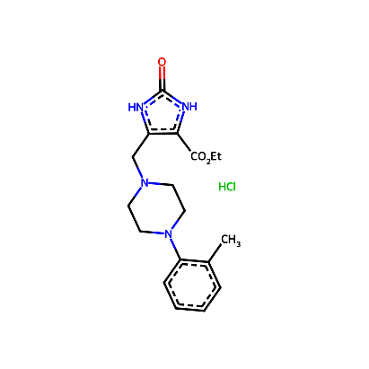 CCOC(=O)c1[nH]c(=O)[nH]c1CN1CCN(c2ccccc2C)CC1.Cl